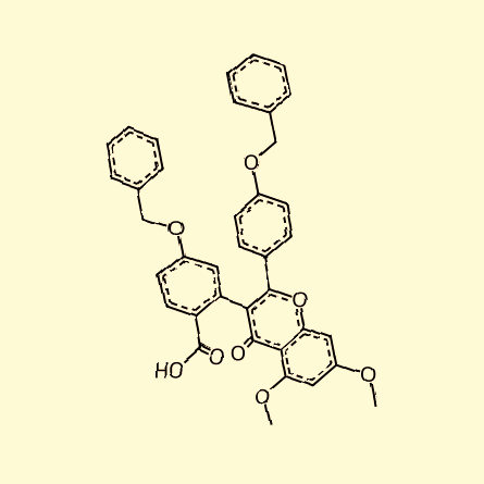 COc1cc(OC)c2c(=O)c(-c3cc(OCc4ccccc4)ccc3C(=O)O)c(-c3ccc(OCc4ccccc4)cc3)oc2c1